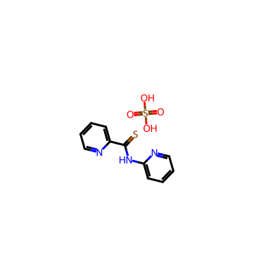 O=S(=O)(O)O.S=C(Nc1ccccn1)c1ccccn1